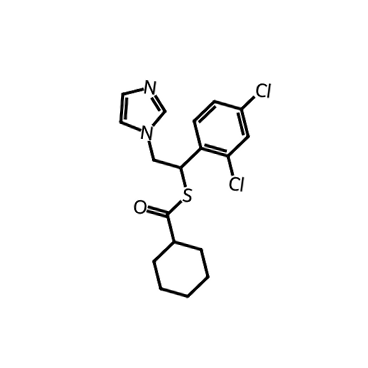 O=C(SC(Cn1ccnc1)c1ccc(Cl)cc1Cl)C1CCCCC1